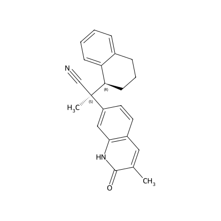 Cc1cc2ccc([C@@](C)(C#N)[C@@H]3CCCc4ccccc43)cc2[nH]c1=O